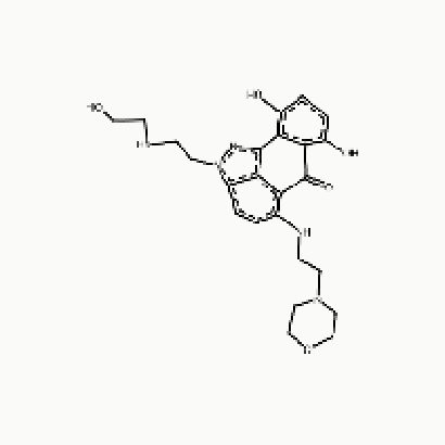 O=C1c2c(O)ccc(O)c2-c2nn(CCNCCO)c3ccc(NCCN4CCOCC4)c1c23